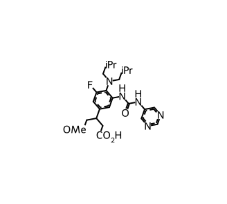 COCC(CC(=O)O)c1cc(F)c(N(CC(C)C)CC(C)C)c(NC(=O)Nc2cncnc2)c1